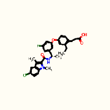 CCc1cc(Oc2cc(F)cc([C@H](C)NC(=O)c3c(C)c4cc(Cl)ccc4n3C)c2)ccc1CCC(=O)O